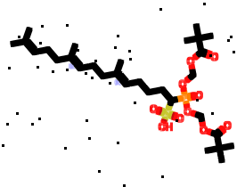 CC(C)=CCC/C(C)=C/CC/C(C)=C/CCCC(P(=O)(OCOC(=O)C(C)(C)C)OCOC(=O)C(C)(C)C)S(=O)(=O)O